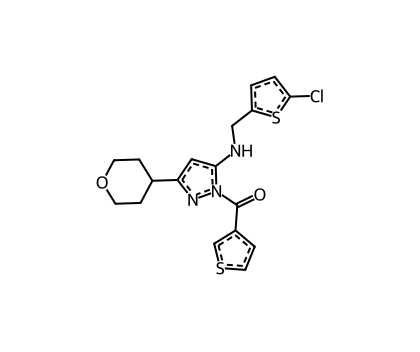 O=C(c1ccsc1)n1nc(C2CCOCC2)cc1NCc1ccc(Cl)s1